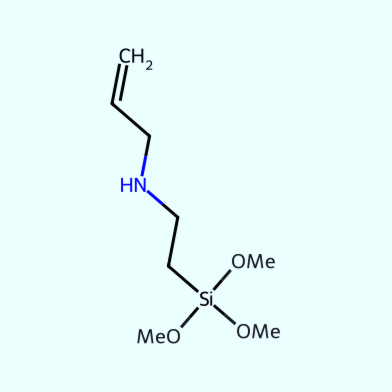 C=CCNCC[Si](OC)(OC)OC